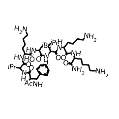 CCC(C)C(N[C@H](O)C(CCCCN)NC(=O)C(NC(=O)C(Cc1ccccc1)NC(C)=O)C(C)C)C(=O)NC(CC(C)C)C(=O)NC(CCCCN)C(=O)NC(CCCCN)C(N)=O